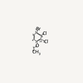 CCOc1ccc(Br)c(Cl)c1Cl